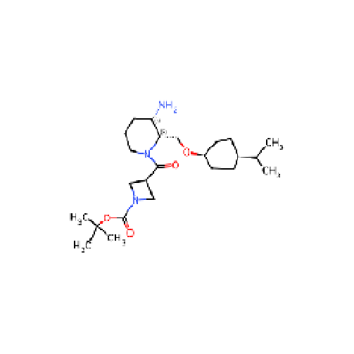 CC(C)[C@H]1CC[C@@H](OC[C@H]2[C@@H](N)CCCN2C(=O)C2CN(C(=O)OC(C)(C)C)C2)CC1